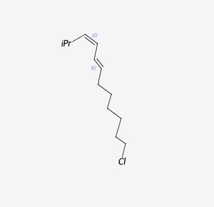 CC(C)/C=C\C=C\CCCCCCCl